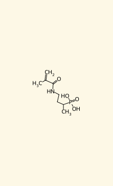 C=C(C)C(=O)NCCC(C)P(=O)(O)O